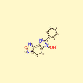 On1c(-c2ccccc2)nc2c1CCc1nonc1-2